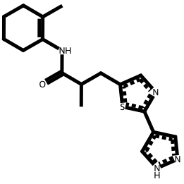 CC1=C(NC(=O)C(C)Cc2cnc(-c3cn[nH]c3)s2)CCCC1